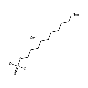 CCCCCCCCCCCCCCCCCCSP([O-])([O-])=S.[Zn+2]